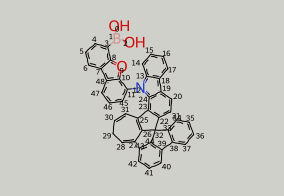 OB(O)c1cccc2c1oc1c(-n3c4ccccc4c4ccc5c(c43)C3=C(C=CCC=C3)C53c4ccccc4-c4ccccc43)cccc12